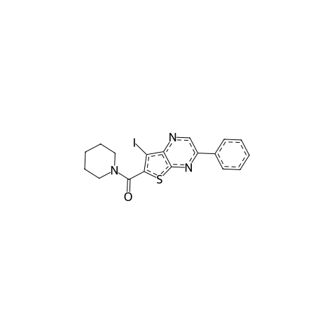 O=C(c1sc2nc(-c3ccccc3)cnc2c1I)N1CCCCC1